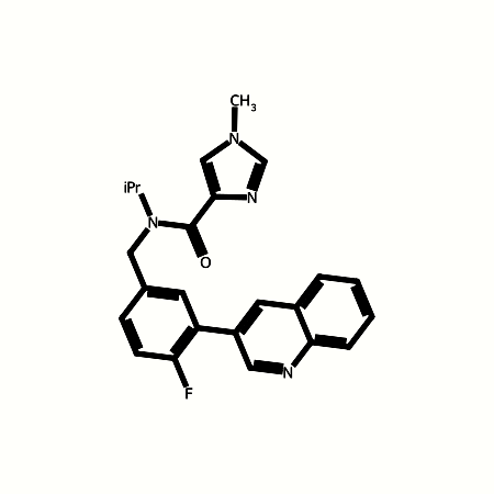 CC(C)N(Cc1ccc(F)c(-c2cnc3ccccc3c2)c1)C(=O)c1cn(C)cn1